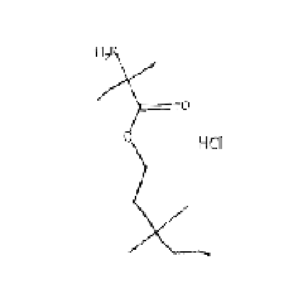 CCC(C)(C)CCOC(=O)C(C)(C)N.Cl